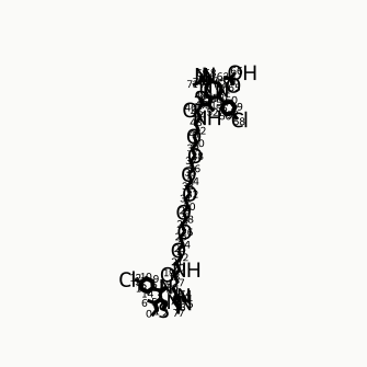 Cc1sc2c(c1C)C(c1ccc(Cl)cc1)=N[C@@H](CC(=O)NCCOCCOCCOCCOCCOCCOCCOCCNC(=O)c1sc3c(c1C)C(c1ccc(Cl)cc1)=N[C@@H](CC(=O)O)c1nnc(C)n1-3)c1nnc(C)n1-2